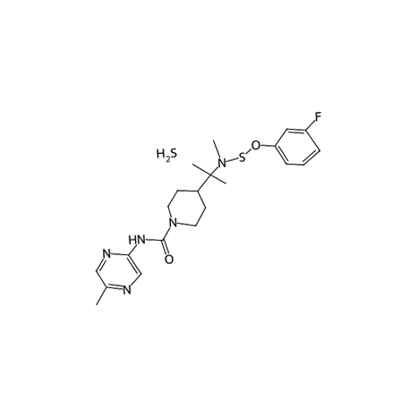 Cc1cnc(NC(=O)N2CCC(C(C)(C)N(C)SOc3cccc(F)c3)CC2)cn1.S